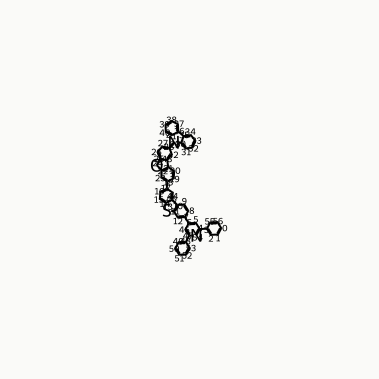 c1ccc(-c2cc(-c3ccc4c(c3)sc3ccc(-c5ccc6c(c5)oc5ccc(-n7c8ccccc8c8ccccc87)cc56)cc34)cc(-c3ccccc3)n2)cc1